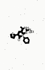 CCNC1N=c2c(cc(-c3cccs3)c(=O)n2C2CCCCC2)=C(C)N1